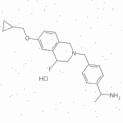 CC(N)c1ccc(CN2Cc3ccc(OCC4CC4)cc3C(F)C2)cc1.Cl